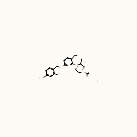 CC(C)(C)OC(=O)N1CCN2c3nc(OCc4ccc(Cl)cc4F)ccc3COC[C@H]2C1